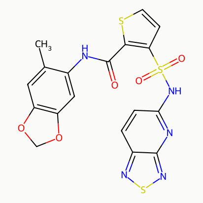 Cc1cc2c(cc1NC(=O)c1sccc1S(=O)(=O)Nc1ccc3nsnc3n1)OCO2